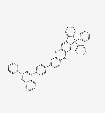 c1ccc(-c2nc(-c3ccc(-c4ccc5c(c4)Oc4cc6c(cc4O5)C(c4ccccc4)(c4ccccc4)c4ccccc4-6)cc3)c3ccccc3n2)cc1